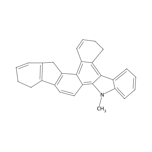 Cn1c2ccccc2c2c3c(c4c5c(ccc4c21)C1=C(C=CCC1)C5)C=CCC3